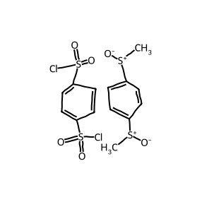 C[S+]([O-])c1ccc([S+](C)[O-])cc1.O=S(=O)(Cl)c1ccc(S(=O)(=O)Cl)cc1